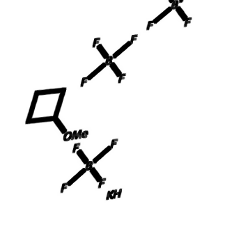 COC1CCC1.F[B-](F)(F)F.F[B-](F)(F)F.F[B-](F)(F)F.[KH]